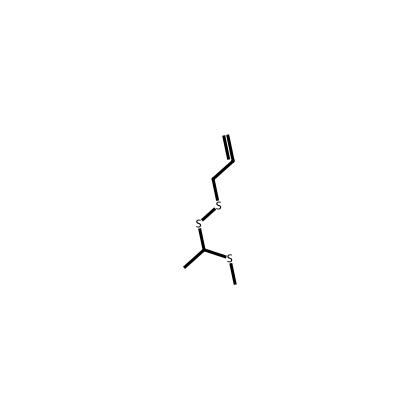 C=CCSSC(C)SC